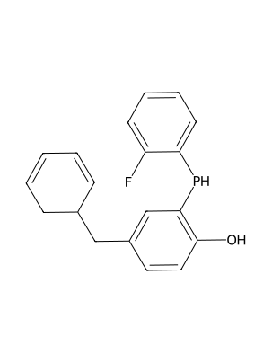 Oc1ccc(CC2C=CC=CC2)cc1Pc1ccccc1F